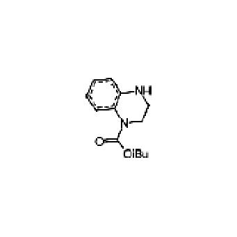 CC(C)COC(=O)N1CCNc2ccccc21